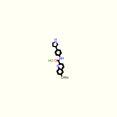 COc1ccc2nc(C(=O)Nc3ccc(C4CCNC4)cc3)ccc2c1.Cl